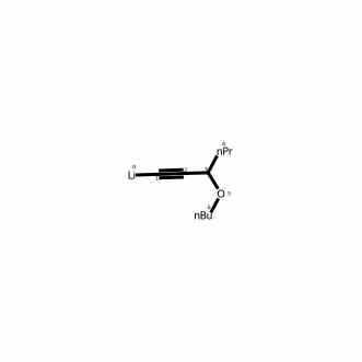 [Li][C]#CC(CCC)OCCCC